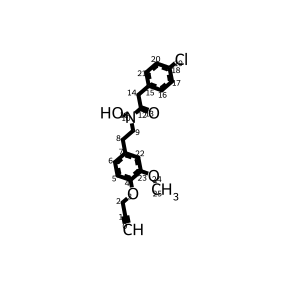 C#CCOc1ccc(CCN(O)C(=O)Cc2ccc(Cl)cc2)cc1OC